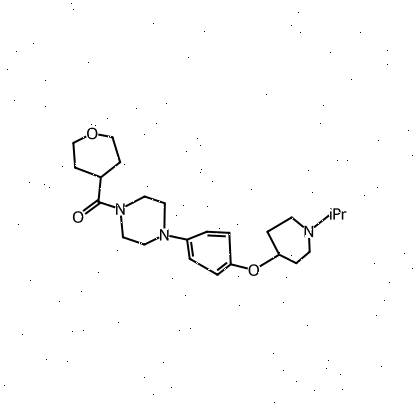 CC(C)N1CCC(Oc2ccc(N3CCN(C(=O)C4CCOCC4)CC3)cc2)CC1